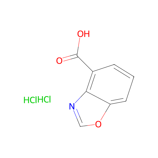 Cl.Cl.O=C(O)c1cccc2ocnc12